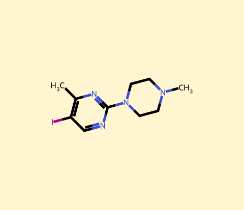 Cc1nc(N2CCN(C)CC2)ncc1I